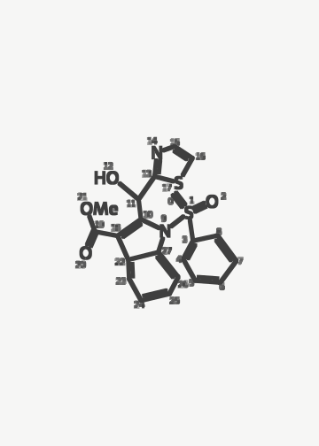 C=S(=O)(c1ccccc1)n1c(C(O)c2nccs2)c(C(=O)OC)c2ccccc21